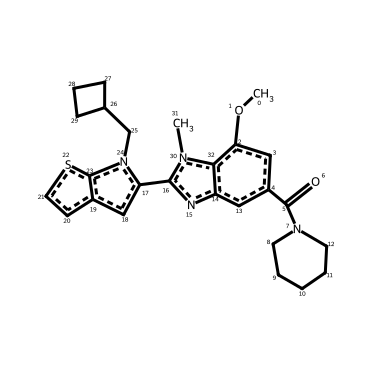 COc1cc(C(=O)N2CCCCC2)cc2nc(-c3cc4ccsc4n3CC3CCC3)n(C)c12